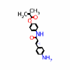 C=C(C)C(=O)Oc1ccc(NC(=O)/C=C/c2ccc(N)cc2)cc1